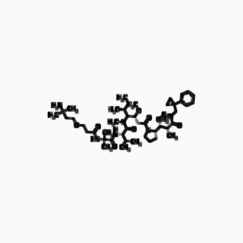 CC[C@H](C)C([C@@H](CC(=O)N1CCC[C@H]1[C@H](OC)[C@@H](C)C(=O)NCC1(c2ccccc2)CC1)OC)N(C)C(=O)[C@@H](NC(=O)C(C)(C)NC(=O)CCOCCC(C)(C)N)C(C)C